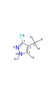 Cc1c(C(C)(C)C)c(F)nn1C